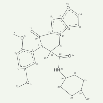 COc1ccc(OC)c(N2C(=O)c3cc4occc4n3CC2(C)C(=O)NC2CCC(C)CC2)c1